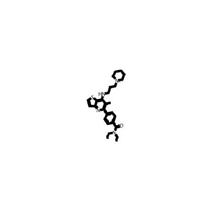 CCN(CC)C(=O)c1ccc(-c2nc3ccsc3c(NCCCN3CCCCC3)c2C)cc1